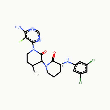 Nc1ncnc(N2CCC(C(F)(F)F)C(N3CCC[C@H](Nc4cc(Cl)cc(Cl)c4)C3=O)C2=O)c1F